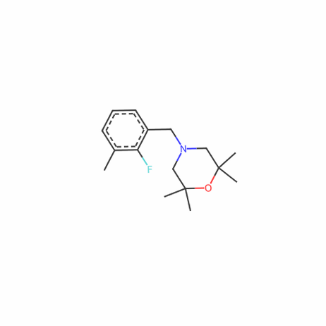 Cc1cccc(CN2CC(C)(C)OC(C)(C)C2)c1F